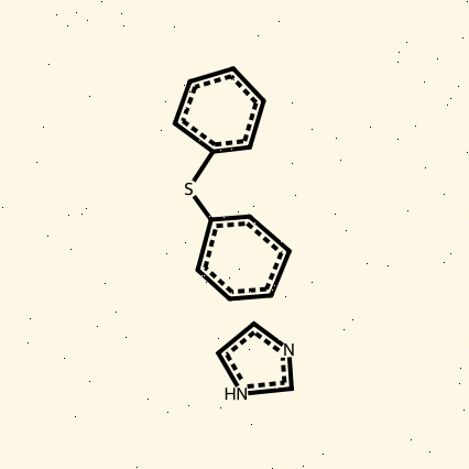 c1c[nH]cn1.c1ccc(Sc2ccccc2)cc1